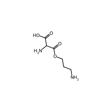 NCCCOC(=O)C(N)C(=O)O